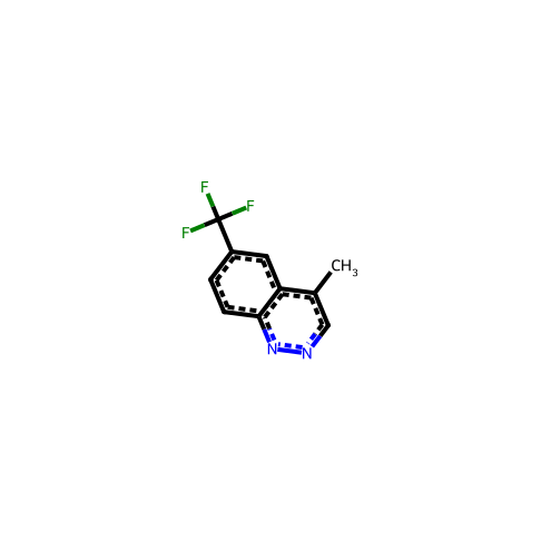 Cc1cnnc2ccc(C(F)(F)F)cc12